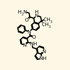 CC1(C)CNC(C(=O)CN)c2cc(N(C(=O)c3cccnc3NCc3ccnc4[nH]ccc34)c3ccccc3)ccc21